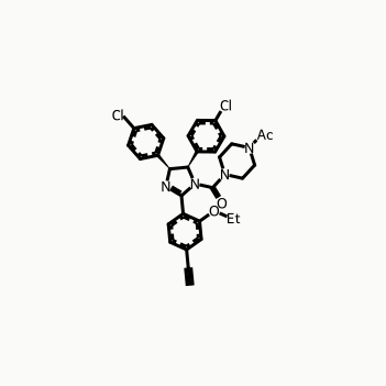 C#Cc1ccc(C2=N[C@@H](c3ccc(Cl)cc3)[C@@H](c3ccc(Cl)cc3)N2C(=O)N2CCN(C(C)=O)CC2)c(OCC)c1